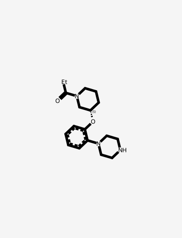 CCC(=O)N1CCC[C@H](Oc2ccccc2N2CCNCC2)C1